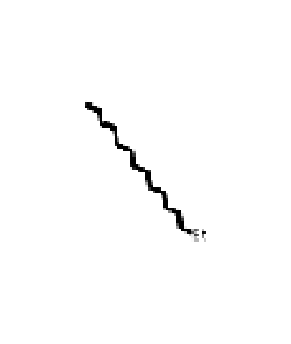 C=CC=CCCCCCCCC=CCC